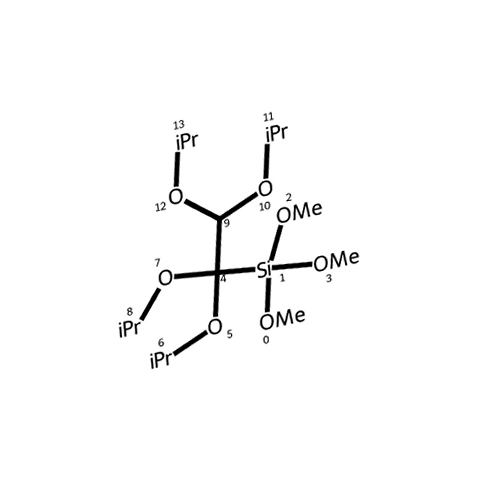 CO[Si](OC)(OC)C(OC(C)C)(OC(C)C)C(OC(C)C)OC(C)C